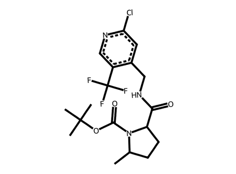 CC1CCC(C(=O)NCc2cc(Cl)ncc2C(F)(F)F)N1C(=O)OC(C)(C)C